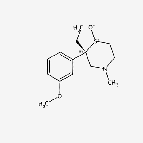 CC[C@]1(c2cccc(OC)c2)CN(C)CC[S+]1[O-]